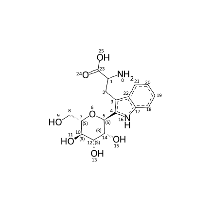 NC(Cc1c([C@@H]2O[C@@H](CO)[C@H](O)[C@@H](O)[C@H]2O)[nH]c2ccccc12)C(=O)O